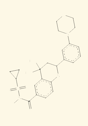 CN(C(=O)c1ccc2c(c1)C(C)(C)CC(c1cccc(N3CCOCC3)c1)N2)S(=O)(=O)C1CC1